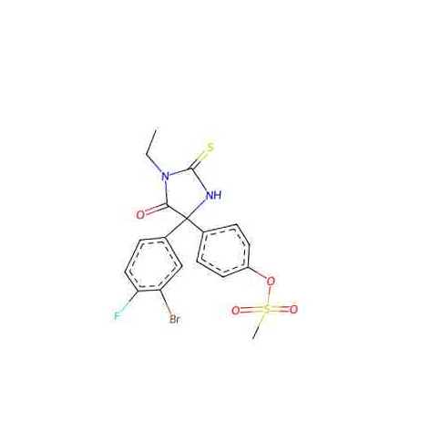 CCN1C(=O)C(c2ccc(OS(C)(=O)=O)cc2)(c2ccc(F)c(Br)c2)NC1=S